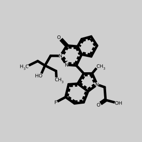 CCC(O)(CC)Cn1nc(-c2c(C)n(CC(=O)O)c3ccc(F)cc23)c2ccccc2c1=O